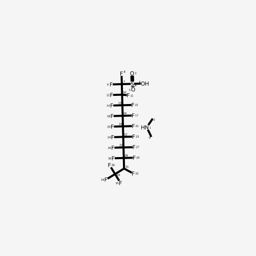 CNC.O=S(=O)(O)C(F)(F)C(F)(F)C(F)(F)C(F)(F)C(F)(F)C(F)(F)C(F)(F)C(F)(F)C(F)C(F)(F)F